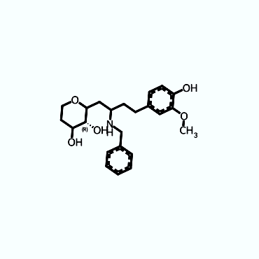 COc1cc(CCC(CC2OCCC(O)[C@H]2O)NCc2ccccc2)ccc1O